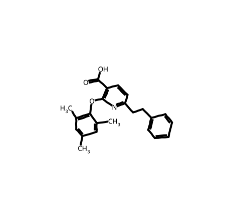 Cc1cc(C)c(Oc2nc(CCc3ccccc3)ccc2C(=O)O)c(C)c1